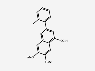 COc1cc2nc(-c3ccccc3C)cc(C(=O)O)c2cc1OC